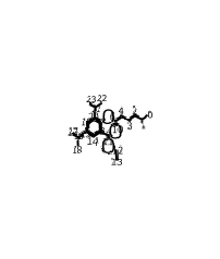 CCCCCCOc1c(C(=O)OCC)cc(C(C)C)cc1C(C)C